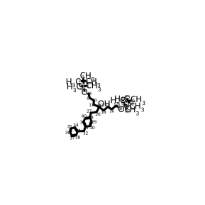 CC(C)(C)[Si](C)(C)OCCCCC(O)(CCCCO[Si](C)(C)C(C)(C)C)CCc1ccc(Cc2ccccc2)cc1